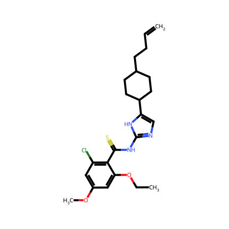 C=CCCC1CCC(c2cnc(NC(=S)c3c(Cl)cc(OC)cc3OCC)[nH]2)CC1